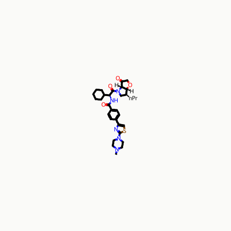 CCC[C@H]1CN(C(=O)[C@@H](NC(=O)c2ccc(-c3csc(N4CCN(C)CC4)n3)cc2)C2CCCCC2)[C@@H]2C(=O)CO[C@H]12